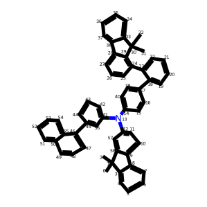 CC1(C)c2ccccc2-c2ccc(N(c3ccc(-c4ccccc4-c4cccc5c4C(C)(C)c4ccccc4-5)cc3)c3cccc(-c4cccc5ccccc45)c3)cc21